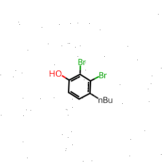 CCCCc1ccc(O)c(Br)c1Br